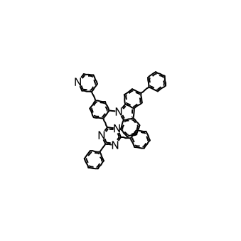 c1ccc(-c2ccc3c(c2)c2ccccc2n3-c2cc(-c3cccnc3)ccc2-c2nc(-c3ccccc3)nc(-c3ccccc3)n2)cc1